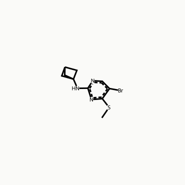 CSc1nc(NC23CC(C2)C3)ncc1Br